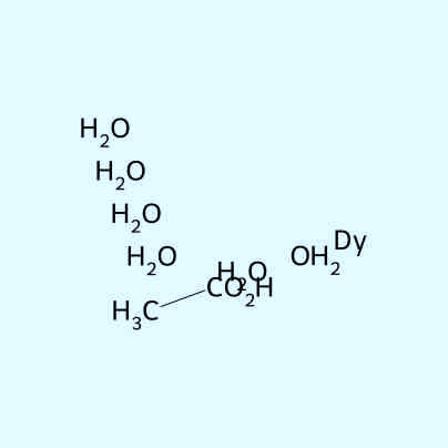 CC(=O)O.O.O.O.O.O.O.[Dy]